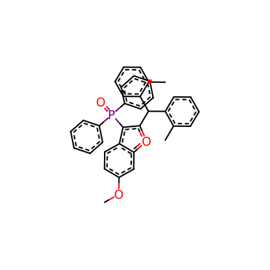 COc1ccc2c(P(=O)(c3ccccc3)c3ccccc3)c(C(c3ccccc3C)c3ccccc3C)oc2c1